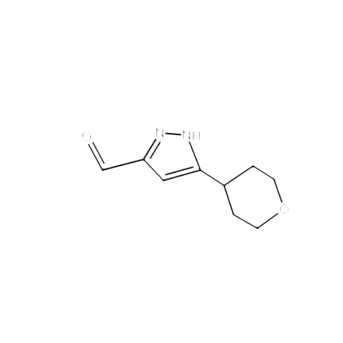 O=Cc1cc(C2CCOCC2)[nH]n1